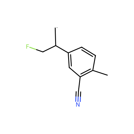 [CH2]C(CF)c1ccc(C)c(C#N)c1